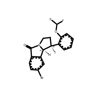 O=C1c2ccc(Br)cc2[C@H]2N1CC[C@@]2(I)c1ccccc1OC(F)F